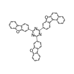 c1ccc2c(c1)ccc1oc3cc(-c4nc(-c5ccc6c(c5)oc5ccccc56)nc(-c5ccc6c(c5)oc5ccccc56)n4)ccc3c12